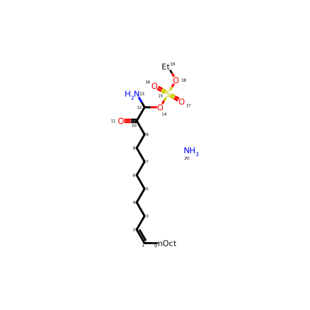 CCCCCCCC/C=C\CCCCCCCC(=O)C(N)OS(=O)(=O)OCC.N